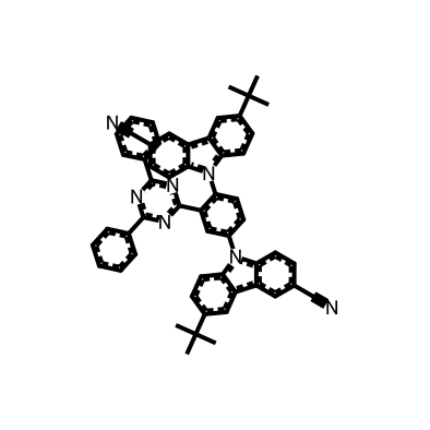 CC(C)(C)c1ccc2c(c1)c1cc(C#N)ccc1n2-c1ccc(-n2c3ccc(C#N)cc3c3cc(C(C)(C)C)ccc32)c(-c2nc(-c3ccccc3)nc(-c3ccccc3)n2)c1